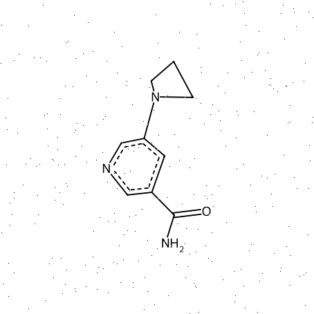 NC(=O)c1cncc(N2CCC2)c1